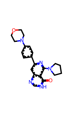 O=c1[nH]cnc2cc(-c3ccc(N4CCOCC4)cc3)nc(N3CCCC3)c12